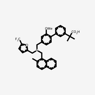 COc1cc(CN(Cc2ccc(C(F)(F)F)o2)Cc2c(C)ccc3ccccc23)ccc1-c1cccc(C(C)(C)C(=O)O)c1